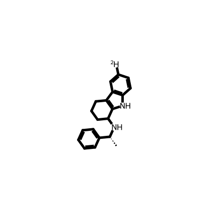 [2H]c1ccc2[nH]c3c(c2c1)CCCC3N[C@H](C)c1ccccc1